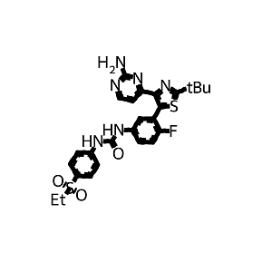 CCS(=O)(=O)c1ccc(NC(=O)Nc2ccc(F)c(-c3sc(C(C)(C)C)nc3-c3ccnc(N)n3)c2)cc1